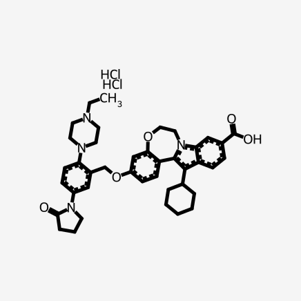 CCN1CCN(c2ccc(N3CCCC3=O)cc2COc2ccc3c(c2)OCCn2c-3c(C3CCCCC3)c3ccc(C(=O)O)cc32)CC1.Cl.Cl